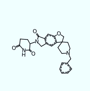 O=C1CCC(N2Cc3cc4c(cc3C2=O)OCC42CCN(Cc3ccccc3)CC2)C(=O)N1